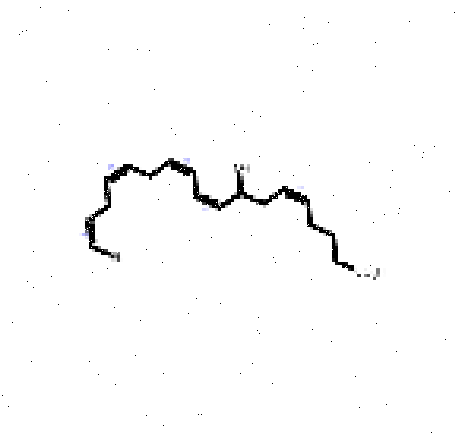 CC/C=C\C/C=C\C/C=C\C=C/C(O)C/C=C\CCCC(=O)O